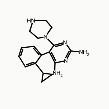 Nc1nc(N)c(-c2ccccc2C2CC2)c(N2CCNCC2)n1